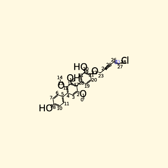 COc1cc(-c2ccc(O)cc2)c(OC)c(O)c1-c1ccc(OCC#C/C=C/Cl)c(O)c1